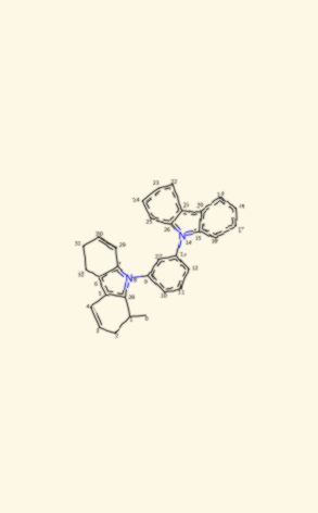 CC1CC=Cc2c3c(n(-c4cccc(-n5c6ccccc6c6ccccc65)c4)c21)C=CCC3